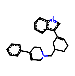 C1=C(c2ccccc2)CCN(CC2CCC=C(c3c[nH]c4ccccc34)C2)C1